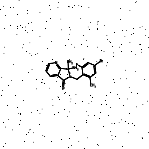 BC1(B)c2ncccc2C(=O)N1Cc1c(C)cc(Br)cc1F